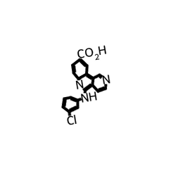 O=C(O)c1ccc2nc(Nc3cccc(Cl)c3)c3ccncc3c2c1